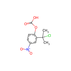 CC(C)(Cl)c1cc([N+](=O)[O-])ccc1OC(=O)O